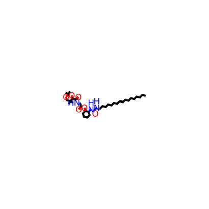 CCCCCCCCC=CCCCCCCCNC(=O)NC1CCCCC1OC(=O)CNC(=O)C1OC(C)(C)OCC1(C)C